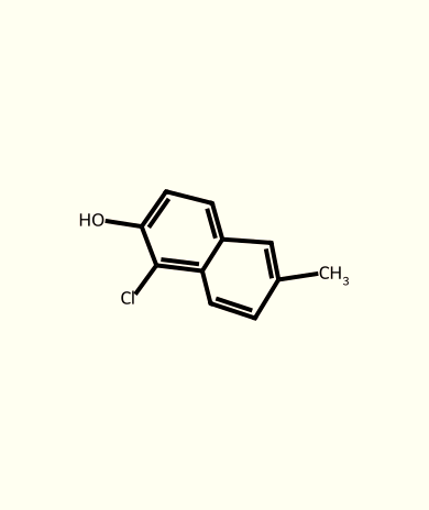 Cc1ccc2c(Cl)c(O)ccc2c1